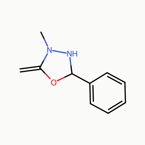 C=C1OC(c2ccccc2)NN1C